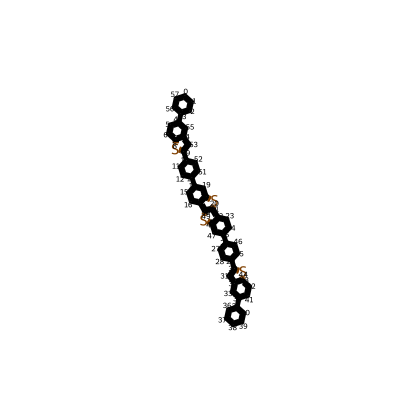 c1ccc(-c2ccc3sc(-c4ccc(-c5ccc6c(c5)sc5c7ccc(-c8ccc(-c9cc%10cc(-c%11ccccc%11)ccc%10s9)cc8)cc7sc65)cc4)cc3c2)cc1